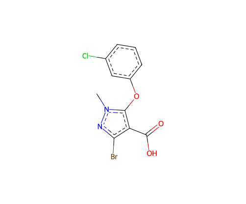 Cn1nc(Br)c(C(=O)O)c1Oc1cccc(Cl)c1